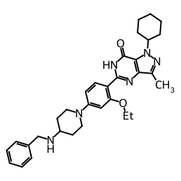 CCOc1cc(N2CCC(NCc3ccccc3)CC2)ccc1-c1nc2c(C)nn(C3CCCCC3)c2c(=O)[nH]1